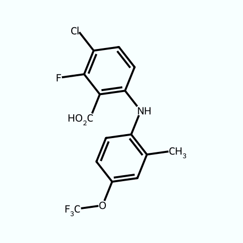 Cc1cc(OC(F)(F)F)ccc1Nc1ccc(Cl)c(F)c1C(=O)O